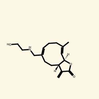 C=C1C(=O)O[C@@H]2/C=C(\C)CC/C=C(/CNCCO)CC[C@@H]12